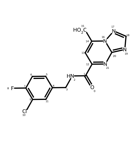 O=C(NCc1ccc(F)c(Cl)c1)c1cc(C(=O)O)n2ncnc2n1